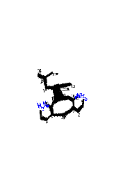 C/C=C\c1cc(/C=C\C)c(N)c(C(C)CC(C)C)c1N